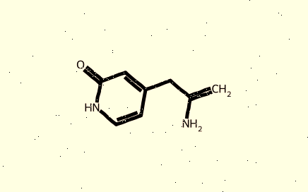 C=C(N)Cc1cc[nH]c(=O)c1